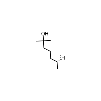 [2H][C@H](C)CCCC(C)(C)O